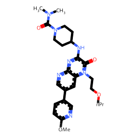 CCCOCCn1c(=O)c(NC2CCN(C(=O)N(C)C)CC2)nc2ncc(-c3ccc(OC)nc3)cc21